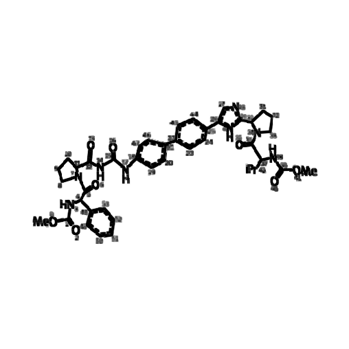 COC(=O)NC(C(=O)N1CCCC1C(=O)NC(=O)Nc1ccc(-c2ccc(-c3cnc(C4CCCN4C(=O)C(NC(=O)OC)C(C)C)[nH]3)cc2)cc1)c1ccccc1